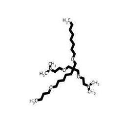 CCCCCCCCOCC(CCCCCOCCCC)(COCCN(C)C)COCCN(C)C